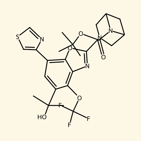 CC(C)(C)OC(=O)N1C2CC1CN(c1nc3c(OC(F)(F)F)c(C(C)(C)O)cc(-c4cscn4)c3o1)C2